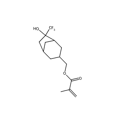 C=C(C)C(=O)OCC1CC2CC(C1)C(O)(C(F)(F)F)C2